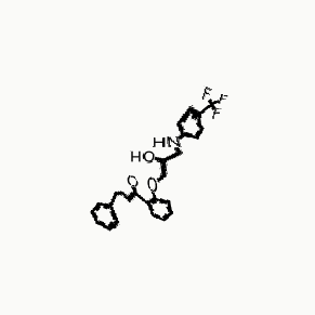 O=C(CCc1ccccc1)c1ccccc1OCC(O)CNc1ccc(C(F)(F)F)cc1